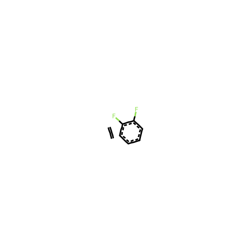 C=C.Fc1ccccc1F